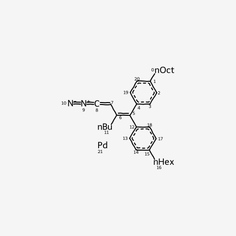 CCCCCCCCc1ccc(C(=C(C=C=[N+]=[N-])CCCC)c2ccc(CCCCCC)cc2)cc1.[Pd]